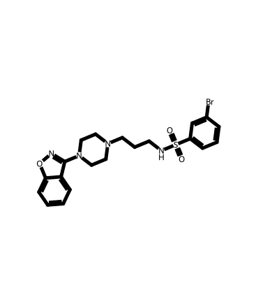 O=S(=O)(NCCCN1CCN(c2noc3ccccc23)CC1)c1cccc(Br)c1